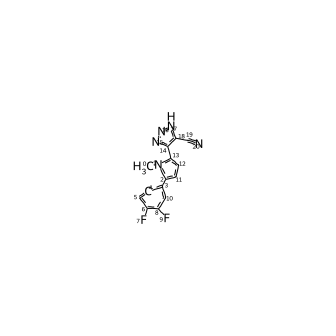 Cn1c(-c2ccc(F)c(F)c2)ccc1-c1nn[nH]c1C#N